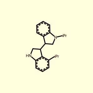 CC(C)c1cccc2c1C(C1CN(C(C)C)c3ccccc31)CN2